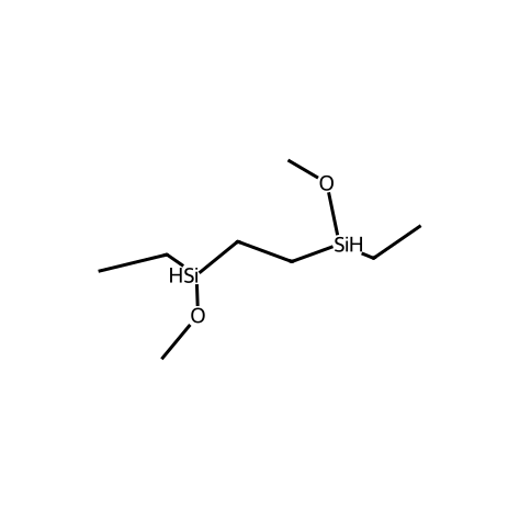 CC[SiH](CC[SiH](CC)OC)OC